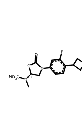 CN(C(=O)O)[C@@H]1CN(c2ccc(C3CSC3)c(F)c2)C(=O)O1